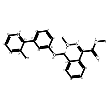 CO/N=C(/C(=O)OC)c1ccccc1COc1cccc(-c2ncccc2C)c1